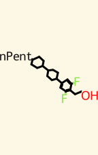 CCCCCC1CCC(C2CCC(c3cc(F)c(CCO)c(F)c3)CC2)CC1